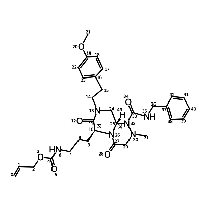 C=CCOC(=O)NCCC[C@H]1C(=O)N(CCc2ccc(OC)cc2)C[C@H]2N1C(=O)CN(C)N2C(=O)NCc1ccccc1